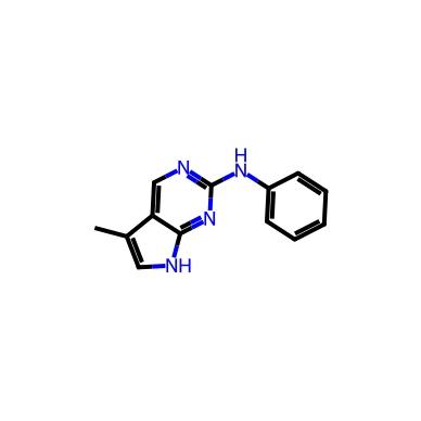 Cc1c[nH]c2nc(Nc3ccccc3)ncc12